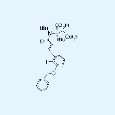 CC(C)(C)N(C(=O)/C=C/c1cccc(OCc2ccccc2)c1I)[C@@](CC(=O)O)(C(=O)O)C(C)(C)C